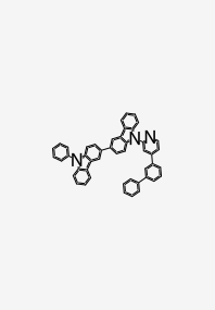 c1ccc(-c2cccc(-c3ccnc(-n4c5ccccc5c5cc(-c6ccc7c(c6)c6ccccc6n7-c6ccccc6)ccc54)c3)c2)cc1